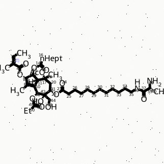 C/C=C(/C)C(=O)O[C@H]1C(C)=C2[C@H]([C@@H]1OC(=O)CCCCCCC)[C@@](C)(OC(C)=O)C[C@H](OC(=O)CCCCCCCCCCCNC(=O)[C@@H](C)N)[C@](O)(CO)[C@H]2OC(=O)CC